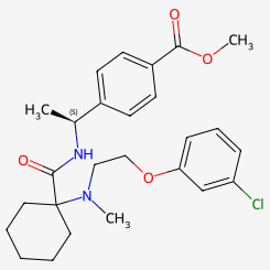 COC(=O)c1ccc([C@H](C)NC(=O)C2(N(C)CCOc3cccc(Cl)c3)CCCCC2)cc1